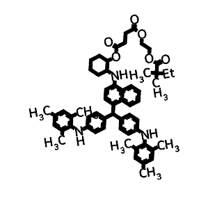 CCC(C)(C)C(=O)OCCOC(=O)CCC(=O)OC1CCCCC1Nc1ccc(C(c2ccc(Nc3c(C)cc(C)cc3C)cc2)c2ccc(Nc3c(C)cc(C)cc3C)cc2)c2ccccc12